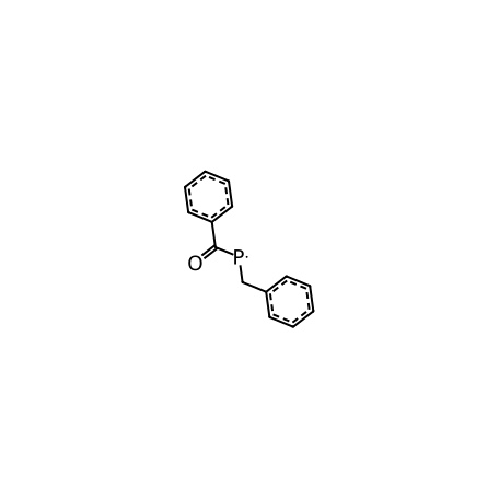 O=C([P]Cc1ccccc1)c1ccccc1